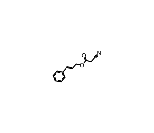 N#CCC(=O)OCC=Cc1ccccc1